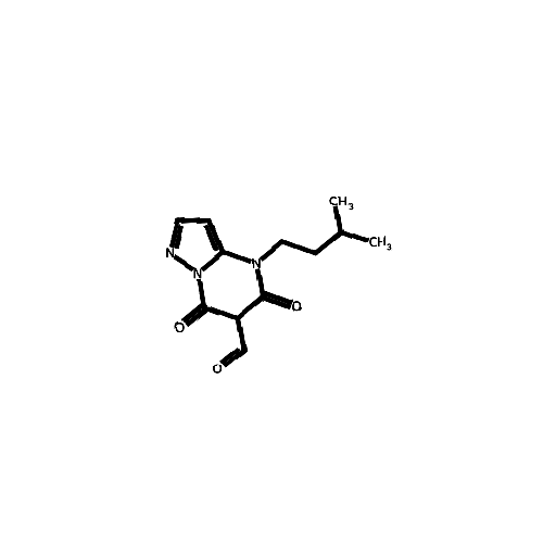 CC(C)CCN1C(=O)C(C=O)C(=O)n2nccc21